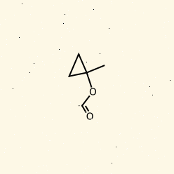 CC1(O[C]=O)CC1